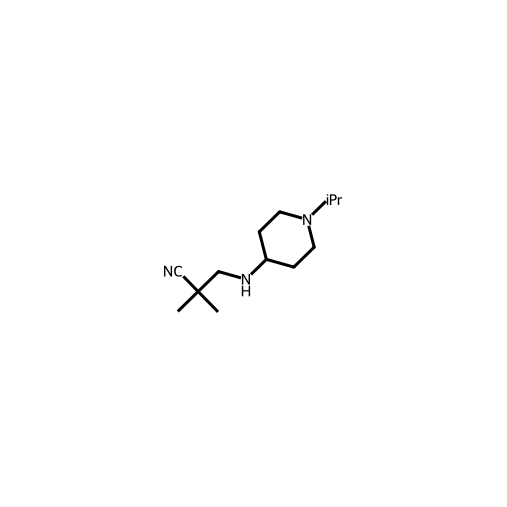 CC(C)N1CCC(NCC(C)(C)C#N)CC1